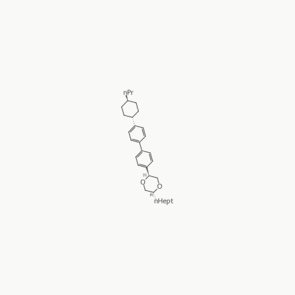 CCCCCCC[C@@H]1CO[C@@H](c2ccc(-c3ccc([C@H]4CC[C@H](CCC)CC4)cc3)cc2)CO1